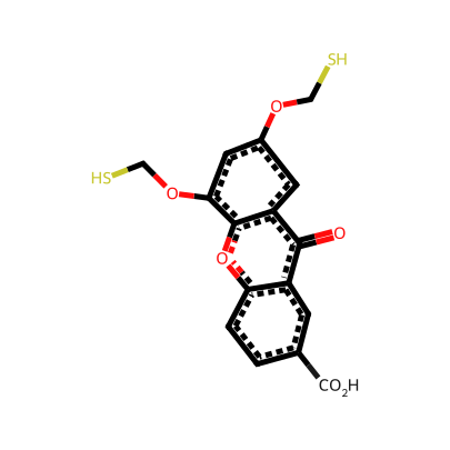 O=C(O)c1ccc2oc3c(OCS)cc(OCS)cc3c(=O)c2c1